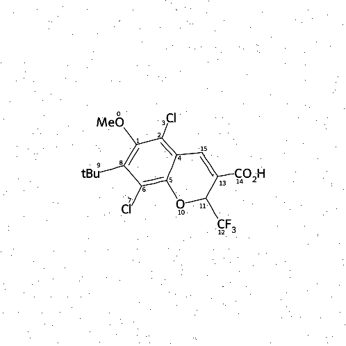 COc1c(Cl)c2c(c(Cl)c1C(C)(C)C)OC(C(F)(F)F)C(C(=O)O)=C2